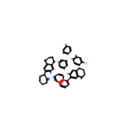 Cc1cc2c3c(c1)N1c4c(cc5c(c4B3c3ccc(N(c4ccc(C(C)(C)C)cc4C)c4ccc(C(C)(C)C)cc4C)cc3N2c2cc3c(cc2-c2ccccc2)C(C)(C)CCC3(C)C)C(C)(C)CCC5(C)C)C2(C)CCCCC12C